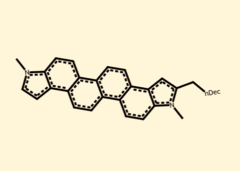 CCCCCCCCCCCc1cc2c3ccc4c(ccc5c4ccc4c5ccn4C)c3ccc2n1C